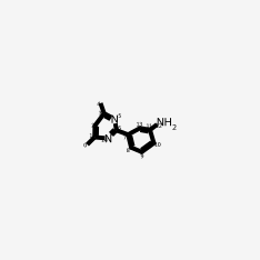 Cc1cc(C)nc(-c2cccc(N)c2)n1